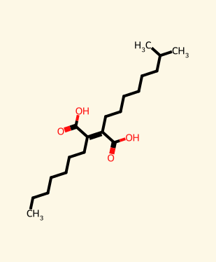 CCCCCCCC(C(=O)O)=C(CCCCCCC(C)C)C(=O)O